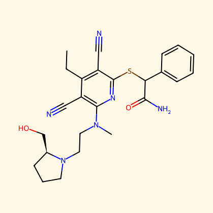 CCc1c(C#N)c(SC(C(N)=O)c2ccccc2)nc(N(C)CCN2CCC[C@H]2CO)c1C#N